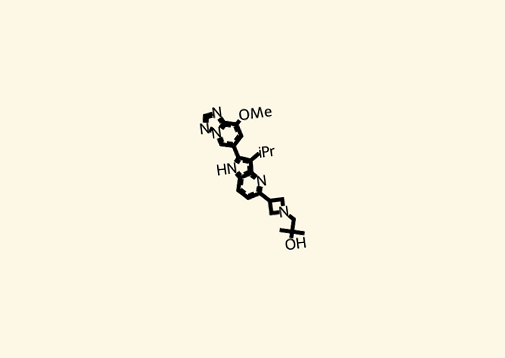 COc1cc(-c2[nH]c3ccc(C4CN(CC(C)(C)O)C4)nc3c2C(C)C)cn2ncnc12